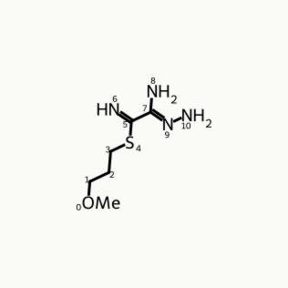 COCCCSC(=N)C(N)=NN